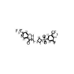 O=C(NC[C@H]1C[C@H](S(=O)(=O)c2cc(F)cc(C(F)(F)F)c2)C1)c1ccc(C(F)(F)F)nc1